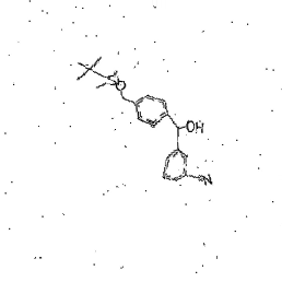 CC(C)(C)[Si](C)(C)OCc1ccc(C(O)c2cccc(C#N)c2)cc1